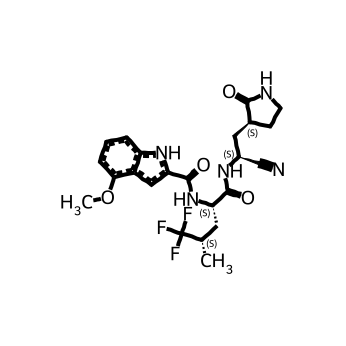 COc1cccc2[nH]c(C(=O)N[C@@H](C[C@H](C)C(F)(F)F)C(=O)N[C@H](C#N)C[C@@H]3CCNC3=O)cc12